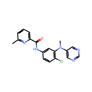 Cc1cccc(C(=O)Nc2ccc(Cl)c(N(C)c3cncnc3)c2)n1